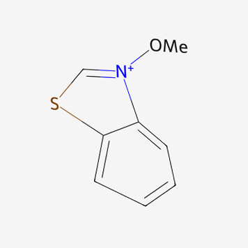 CO[n+]1csc2ccccc21